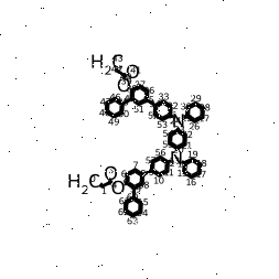 C=CC(=O)Oc1ccc(-c2ccc(N(c3ccccc3)c3ccc(N(c4ccccc4)c4ccc(-c5ccc(OC(=O)C=C)c(-c6ccccc6)c5)cc4)cc3)cc2)cc1-c1ccccc1